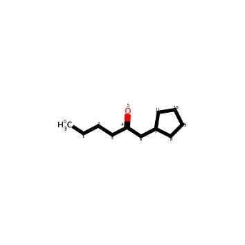 CCCCC(=O)CC1CCCC1